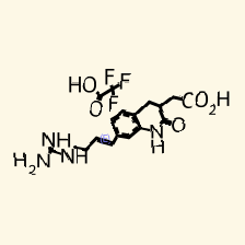 N=C(N)NCC/C=C/c1ccc2c(c1)NC(=O)C(CC(=O)O)C2.O=C(O)C(F)(F)F